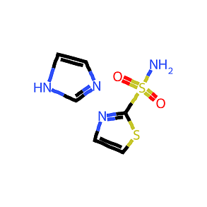 NS(=O)(=O)c1nccs1.c1c[nH]cn1